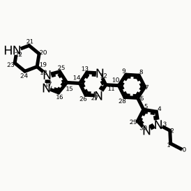 CCCn1cc(-c2cccc(-c3ncc(-c4cnn(C5CCNCC5)c4)cn3)c2)cn1